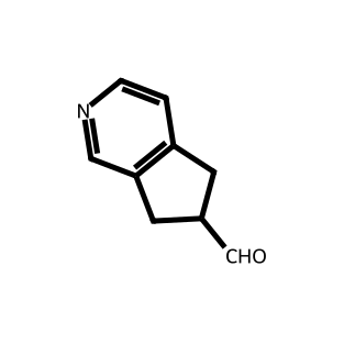 O=CC1Cc2ccncc2C1